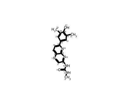 CNC(=O)Nc1cnc2ccc(-c3cc(C)c(O)c(C)c3)nc2n1